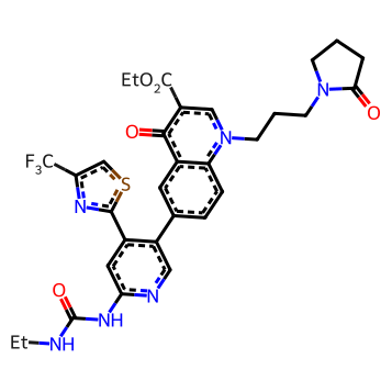 CCNC(=O)Nc1cc(-c2nc(C(F)(F)F)cs2)c(-c2ccc3c(c2)c(=O)c(C(=O)OCC)cn3CCCN2CCCC2=O)cn1